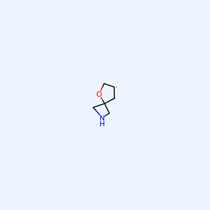 [CH]1COC2(C1)CNC2